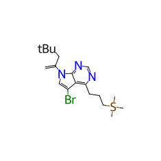 C=C(CC(C)(C)C)n1cc(Br)c2c(CCCS(C)(C)C)ncnc21